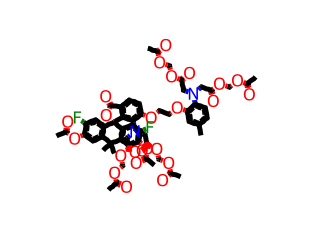 CC(=O)OCOC(=O)CN(CC(=O)OCOC(C)=O)c1ccc(C)cc1OCCOc1ccc2c(c1N(CC(=O)OCOC(C)=O)CC(=O)OCOC(C)=O)C1(OC2=O)c2cc(F)c(OC(C)=O)cc2C(C)(C)c2cc(OC(C)=O)c(F)cc21